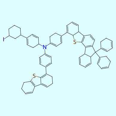 IC1CCCC(C2=CCC(N(C3=CC=C(C4=CC=CC5c6ccc7c(c6SC45)C4C=CC=CC4C7(C4=CC=CCC4)C4=CC=CCC4)CC3)c3ccc(C4=c5sc6c(c5=CCC4)C=CCC6)cc3)C=C2)C1